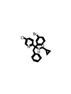 O=C(NC(Cc1ccccc1)(c1cccc(Br)c1)c1ccc(Cl)cn1)C1CC1